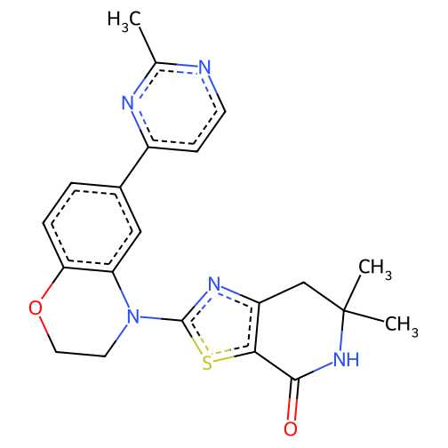 Cc1nccc(-c2ccc3c(c2)N(c2nc4c(s2)C(=O)NC(C)(C)C4)CCO3)n1